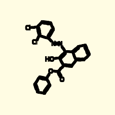 O=C(Oc1ccccc1)c1cc2ccccc2c(N=Nc2cccc(Cl)c2Cl)c1O